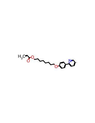 C=CC(=O)OCCCCCCCCOc1ccc(-c2cc[c]cn2)cc1